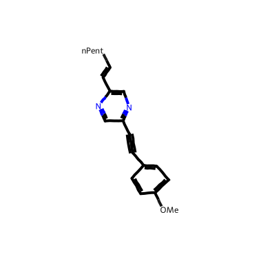 CCCCC/C=C/c1cnc(C#Cc2ccc(OC)cc2)cn1